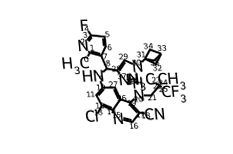 Cc1nc(F)ccc1C(Nc1cc(Cl)c2ncc(C#N)c(NCC(C)(C)C(F)(F)F)c2c1)c1cn(C23CC(C2)C3)nn1